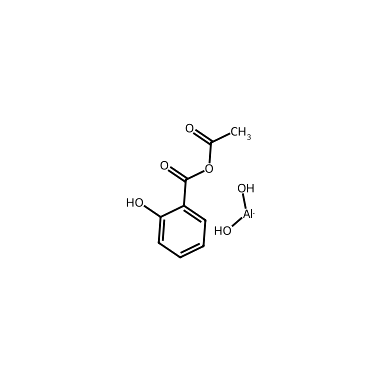 CC(=O)OC(=O)c1ccccc1O.[OH][Al][OH]